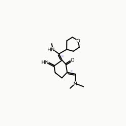 CN/C(=C1\C(=N)CC/C(=C\N(C)C)C1=O)C1CCOCC1